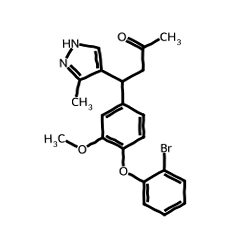 COc1cc(C(CC(C)=O)c2c[nH]nc2C)ccc1Oc1ccccc1Br